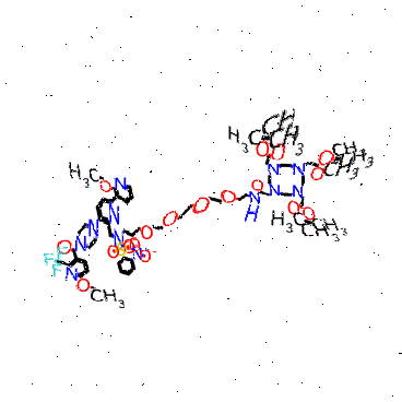 CCOc1ccc(C(=O)N2CCN(c3ccc(-c4cccnc4OCC)nc3CN(CCCOCCOCCOCCOCCNC(=O)CN3CCN(CC(=O)OC(C)(C)C)CCN(CC(=O)OC(C)(C)C)CCN(CC(=O)OC(C)(C)C)CC3)S(=O)(=O)c3ccccc3[N+](=O)[O-])CC2)c(C(F)(F)F)n1